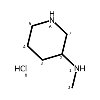 CNC1CCCNC1.Cl